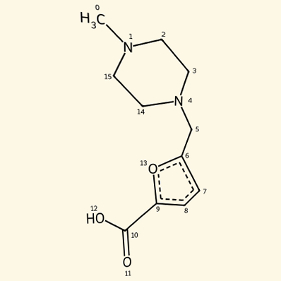 CN1CCN(Cc2ccc(C(=O)O)o2)CC1